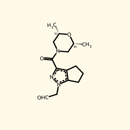 C[C@@H]1CN(C(=O)c2nn(CC=O)c3c2CCC3)C[C@H](C)O1